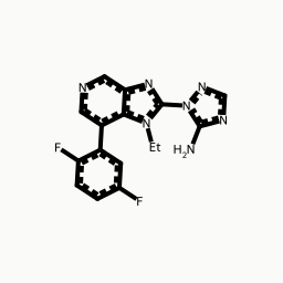 CCn1c(-n2ncnc2N)nc2cncc(-c3cc(F)ccc3F)c21